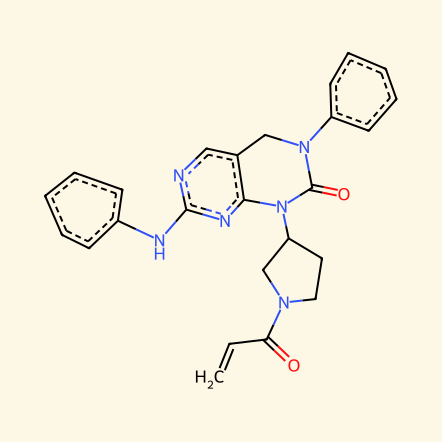 C=CC(=O)N1CCC(N2C(=O)N(c3ccccc3)Cc3cnc(Nc4ccccc4)nc32)C1